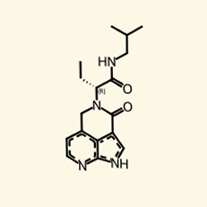 CC[C@H](C(=O)NCC(C)C)N1Cc2ccnc3[nH]cc(c23)C1=O